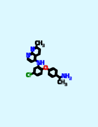 Cc1ccc2c(Nc3cc(Cl)ccc3Oc3ccc(C(C)N)cc3)ccnc2n1